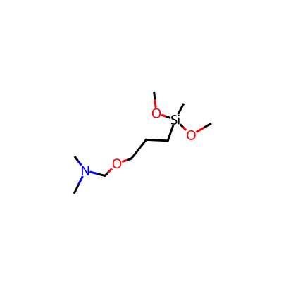 CO[Si](C)(CCCOCN(C)C)OC